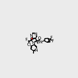 Cc1ccc(N(C(=O)[C@H](F)Cl)[C@@](C)(C(=O)N[C@H]2CC3CC2CC3(F)F)c2cncnc2)cn1